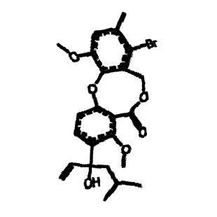 C=CC(O)(CC(C)C)c1ccc2c(c1OC)C(=O)OCc1c(Br)c(C)cc(OC)c1O2